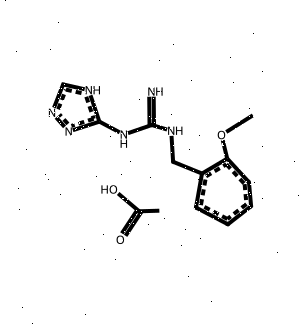 CC(=O)O.COc1ccccc1CNC(=N)Nc1nnc[nH]1